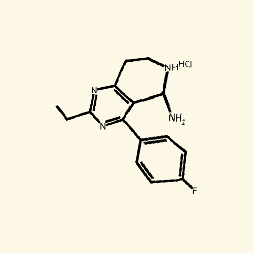 CCc1nc2c(c(-c3ccc(F)cc3)n1)C(N)NCC2.Cl